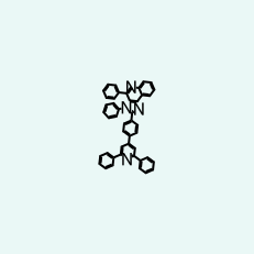 c1ccc(-c2cc(-c3ccc(-c4nc5c6ccccc6nc(-c6ccccc6)c5n4-c4ccccc4)cc3)cc(-c3ccccc3)n2)cc1